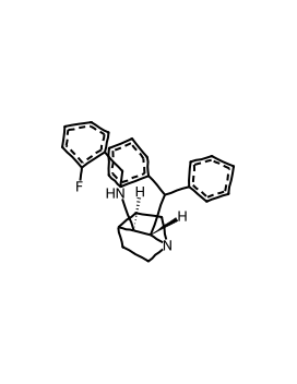 Fc1ccccc1CN[C@@H]1C2CCN(CC2)[C@H]1C(c1ccccc1)c1ccccc1